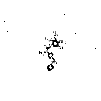 Cc1cc(OCC(=O)N(C)C2CCN(CC(O)Oc3ccccc3)CC2)c(C)c(C)c1N